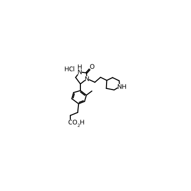 Cc1cc(CCC(=O)O)ccc1C1CNC(=O)N1CCC1CCNCC1.Cl